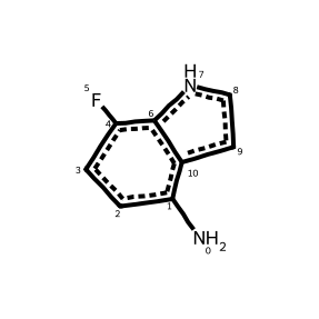 Nc1ccc(F)c2[nH]ccc12